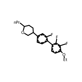 CCCC1CCC(c2ccc(-c3ccc(OCC)c(F)c3F)c(F)c2)CO1